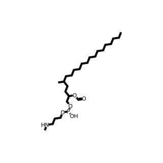 CCCCCCCCCCCCCCCC(C)CCC(COP(O)OCCCNC)OC=O